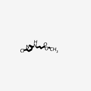 CCOC(=O)CCCNc1ccc(Cl)nc1